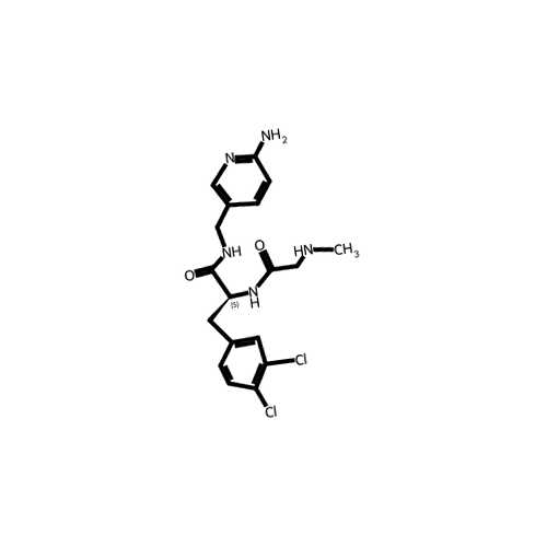 CNCC(=O)N[C@@H](Cc1ccc(Cl)c(Cl)c1)C(=O)NCc1ccc(N)nc1